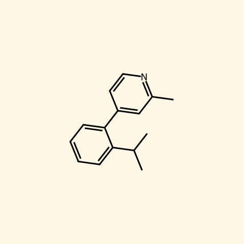 Cc1cc(-c2ccccc2C(C)C)ccn1